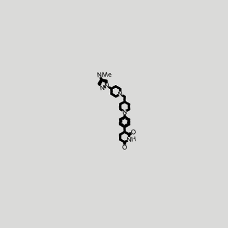 CNc1cnn(C2CCN(CC3CCN(c4ccc(C5CCC(=O)NC5=O)cc4)CC3)CC2)c1